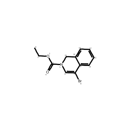 CCOC(=O)N1C=C(Br)c2ccccc2C1